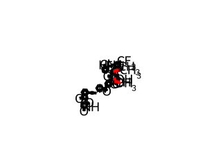 C[C@@H]1CN(C(=O)[C@H]2[C@H](c3cccc(Cl)c3F)[C@]3(CNc4cc(C(F)(F)F)ncc43)C3(CCC(C)(C)CC3)N2COP(=O)(O)O)c2ccc(C(=O)N3CCC[C@@H](CC#Cc4cccc5c4CN([C@H]4CCC(=O)NC4=O)C5=O)C3)cc2O1